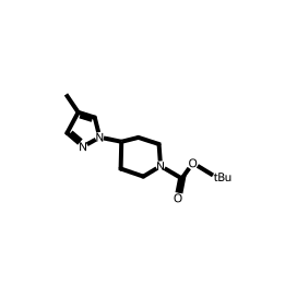 Cc1cnn(C2CCN(C(=O)OC(C)(C)C)CC2)c1